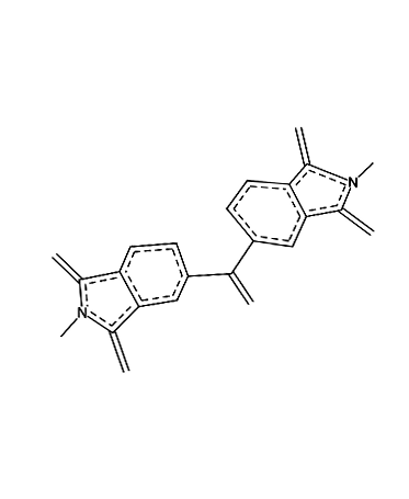 C=C(c1ccc2c(=C)n(C)c(=C)c2c1)c1ccc2c(=C)n(C)c(=C)c2c1